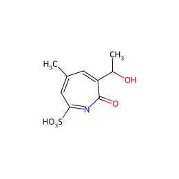 Cc1cc(S(=O)(=O)O)nc(=O)c(C(C)O)c1